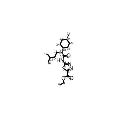 CCOC(=O)c1nnc(NC(=O)N(CCC(C)C)[C@H]2CC[C@H](C)CC2)s1